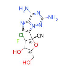 N#C[C@@]1(c2cnc3c(N)nc(N)nn23)O[C@H](CO)C(O)C1(F)Cl